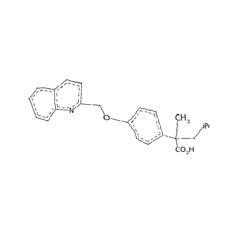 CC(C)CC(C)(C(=O)O)c1ccc(OCc2ccc3ccccc3n2)cc1